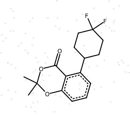 CC1(C)OC(=O)c2c(cccc2C2CCC(F)(F)CC2)O1